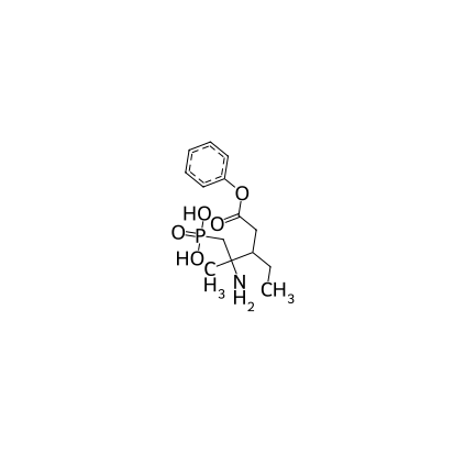 CCC(CC(=O)Oc1ccccc1)C(C)(N)CP(=O)(O)O